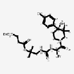 CCOC(=O)CCC(=O)OC(C)(C)CNC(=O)N[C@@H](C(=O)N1CC[C@](O)(c2ccc(Cl)cc2)C(C)(C)C1)C(C)C